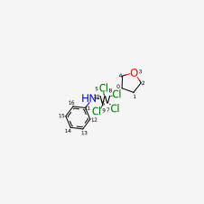 C1CCOC1.[Cl][W]([Cl])([Cl])([Cl])[NH]c1ccccc1